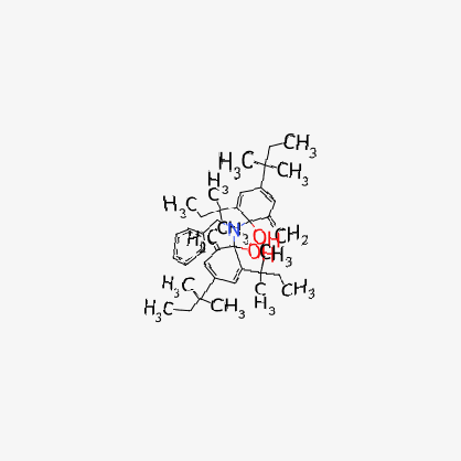 C=C1C=C(C(C)(C)CC)C=C(C(C)(C)CC)C1(O)N(Cc1ccccc1)C1(O)C(=C)C=C(C(C)(C)CC)C=C1C(C)(C)CC